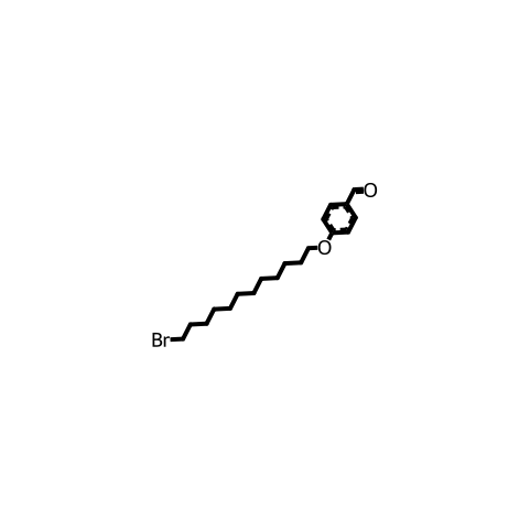 O=Cc1ccc(OCCCCCCCCCCCCBr)cc1